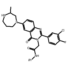 CC(C)NC(=O)Cn1c(-c2ccc(F)c(Cl)c2)nc2ccc(N3CCCNC(C)C3)cc2c1=O